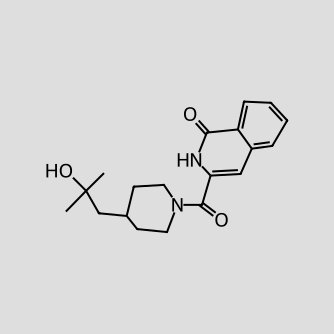 CC(C)(O)CC1CCN(C(=O)c2cc3ccccc3c(=O)[nH]2)CC1